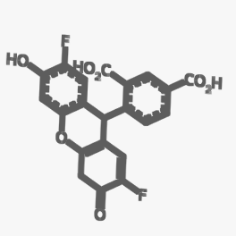 O=C1CC2=C(C=C1F)C(c1ccc(C(=O)O)cc1C(=O)O)c1cc(F)c(O)cc1O2